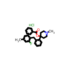 Cc1ccc(Cc2ccccc2C2(OC(=O)c3ccccc3)CCN(C)CC2)c(F)c1.Cl